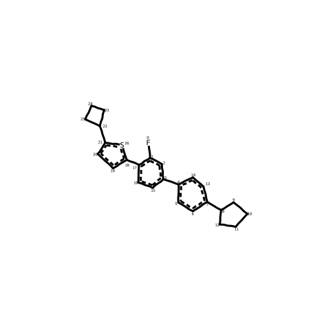 Fc1cc(-c2ccc(C3CCCC3)cc2)ccc1-c1ccc(C2CCC2)s1